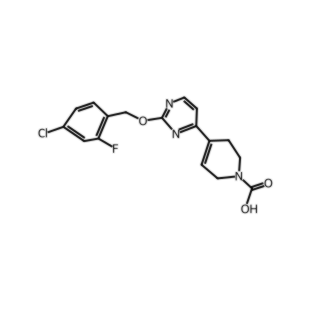 O=C(O)N1CC=C(c2ccnc(OCc3ccc(Cl)cc3F)n2)CC1